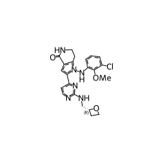 COc1c(Cl)cccc1Nn1c(-c2ccnc(NC[C@H]3CCO3)n2)cc2c1CCNC2=O